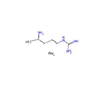 N=C(N)NCCCC(N)C(=O)O.[AlH3]